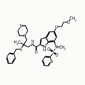 COCCOc1cc(N(C)S(=O)(=O)c2ccccn2)c2[nH]c(C(=O)NCC(C)(CN3CCSCC3)SCc3ccccc3)cc2c1